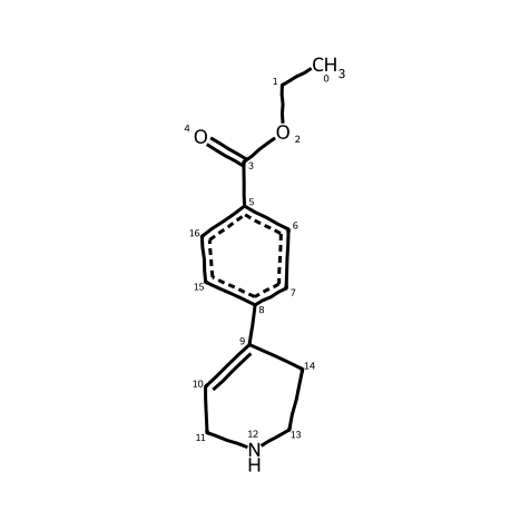 CCOC(=O)c1ccc(C2=CCNCC2)cc1